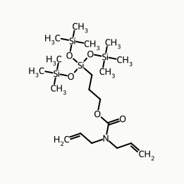 C=CCN(CC=C)C(=O)OCCC[Si](O[Si](C)(C)C)(O[Si](C)(C)C)O[Si](C)(C)C